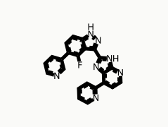 Fc1c(-c2cccnc2)ccc2[nH]nc(-c3nc4c(-c5ccccn5)ccnc4[nH]3)c12